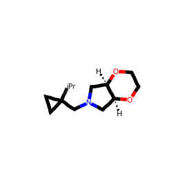 CC(C)C1(CN2C[C@@H]3OCCO[C@@H]3C2)CC1